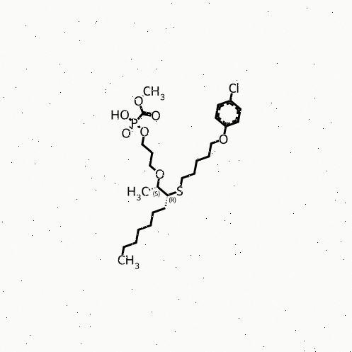 CCCCCCC[C@@H](SCCCCCOc1ccc(Cl)cc1)[C@H](C)OCCCOP(=O)(O)C(=O)OC